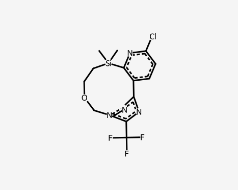 C[Si]1(C)CCOCn2nc(nc2C(F)(F)F)-c2ccc(Cl)nc21